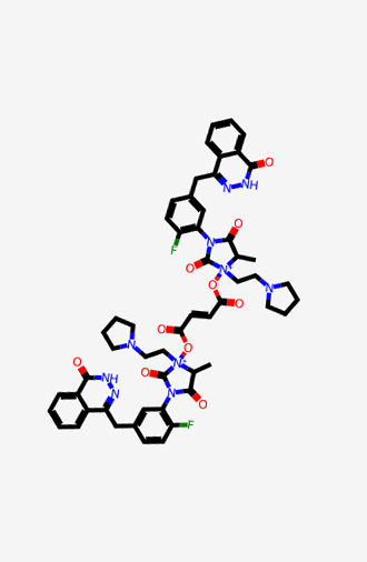 CC1C(=O)N(c2cc(Cc3n[nH]c(=O)c4ccccc34)ccc2F)C(=O)[N+]1(CCN1CCCC1)OC(=O)/C=C/C(=O)O[N+]1(CCN2CCCC2)C(=O)N(c2cc(Cc3n[nH]c(=O)c4ccccc34)ccc2F)C(=O)C1C